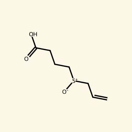 C=CC[S+]([O-])CCCC(=O)O